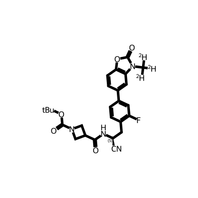 [2H]C([2H])([2H])n1c(=O)oc2ccc(-c3ccc(C[C@@H](C#N)NC(=O)C4CN(C(=O)OC(C)(C)C)C4)c(F)c3)cc21